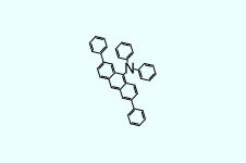 c1ccc(-c2ccc3c(N(c4ccccc4)c4ccccc4)c4cc(-c5ccccc5)ccc4cc3c2)cc1